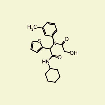 Cc1cccc(N(C(=O)CO)C(C(=O)NC2CCCCC2)c2cccs2)c1